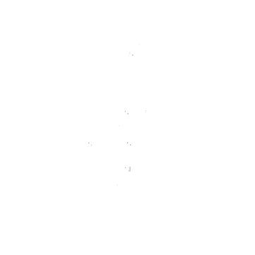 O=C1COc2ncc(N3CC4(CCN(C(=O)O)CC4)OC3=O)nc2N1